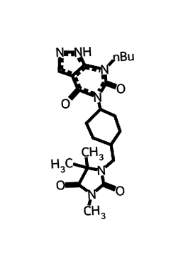 CCCCn1c(=O)n(C2CCC(CN3C(=O)N(C)C(=O)C3(C)C)CC2)c(=O)c2cn[nH]c21